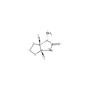 N[C@@H]1C(=O)N[C@@H]2CCC[C@H]12